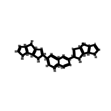 c1cc2sc3cc(-c4cnc5ncc(-c6cc7sc8ccsc8c7s6)cc5c4)sc3c2s1